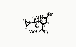 COC(=O)c1cc(Br)nn1C(C)(C#N)C1CC1